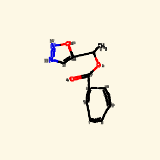 CC(OC(=O)c1ccccc1)c1cnno1